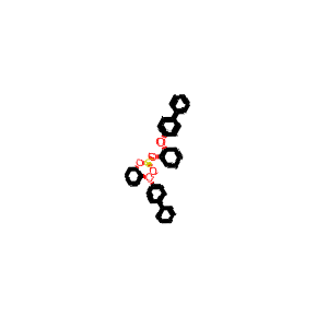 O=S(OC1CCCCC1Oc1ccc(-c2ccccc2)cc1)OC1CCCCC1Oc1ccc(-c2ccccc2)cc1